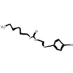 CCCCCCOC(=O)NC=Nc1ccc(N)cc1